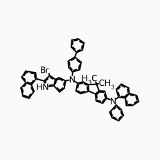 CC1(C)c2cc(N(c3ccc(-c4ccccc4)cc3)c3ccc4[nH]c(-c5cccc6ccccc56)c(Br)c4c3)ccc2-c2ccc(N(c3ccccc3)c3cccc4ccccc34)cc21